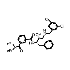 CCCN(CCC)C(=O)c1cccc(C(=O)N[C@@H](Cc2ccccc2)[C@H](O)CNCc2cc(Cl)cc(Cl)c2)c1